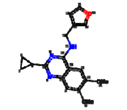 COc1cc2nc(C3CC3)nc(NCc3ccoc3)c2cc1OC